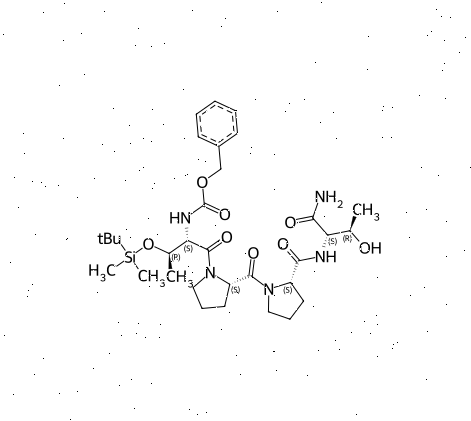 C[C@@H](O)[C@H](NC(=O)[C@@H]1CCCN1C(=O)[C@@H]1CCCN1C(=O)[C@@H](NC(=O)OCc1ccccc1)[C@@H](C)O[Si](C)(C)C(C)(C)C)C(N)=O